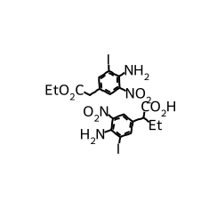 CCC(C(=O)O)c1cc(I)c(N)c([N+](=O)[O-])c1.CCOC(=O)Cc1cc(I)c(N)c([N+](=O)[O-])c1